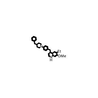 CCC1=CC2=C(Cc3ccc(N4CCC(Cc5ccccc5)CC4)cc3)C=CNC2C=C1OC